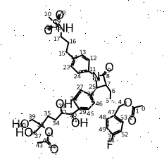 CC(=O)O[C@@H](CCC1C(=O)N(c2ccc(CCCNS(C)(=O)=O)cc2)[C@@H]1c1ccc(C(O)C(O)CCC(CO)(CO)OC(C)=O)cc1)c1ccc(F)cc1